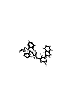 O=CNOCc1ccccc1C[C@@H](CC1CCCC1)C(=O)NNc1nc(Cl)nc(N2CCN3CCCCC3C2)c1F